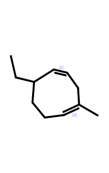 CCC1/C=C\C/C(C)=C\CC1